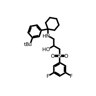 CC(C)(C)c1cccc(C2(NCC(O)CS(=O)(=O)c3cc(F)cc(F)c3)CCCCC2)c1